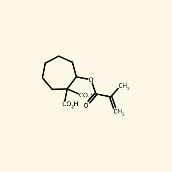 C=C(C)C(=O)OC1CCCCCC1(C(=O)O)C(=O)O